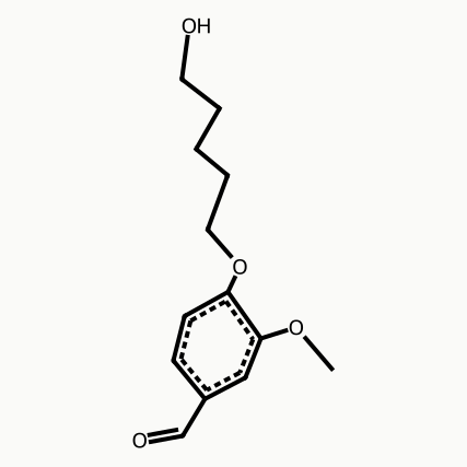 COc1cc(C=O)ccc1OCCCCCO